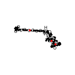 CC[C@H](C)[C@@H]([C@@H](CC(=O)N1CCC[C@H]1[C@H](OC)[C@@H](C)C(=O)N[C@@H](Cc1ccccc1)C(=O)OC(C)(C)C)OC)N(C)C(=O)[C@@H](NC(=O)C(C)(C)NC(=O)CCOCCOCCOCCOCCOCCOCCN1C(=O)C=CC1=O)C(C)C